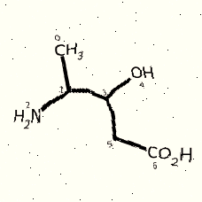 CC(N)C(O)CC(=O)O